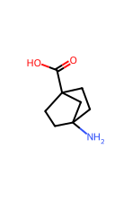 NC12CCC(C(=O)O)(CC1)C2